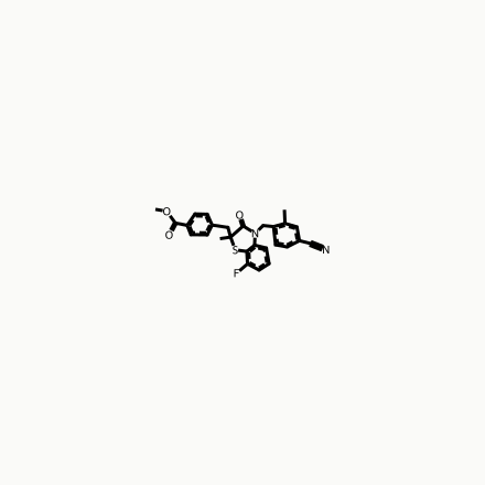 COC(=O)c1ccc(CC2(C)Sc3c(F)cccc3N(Cc3ccc(C#N)cc3C)C2=O)cc1